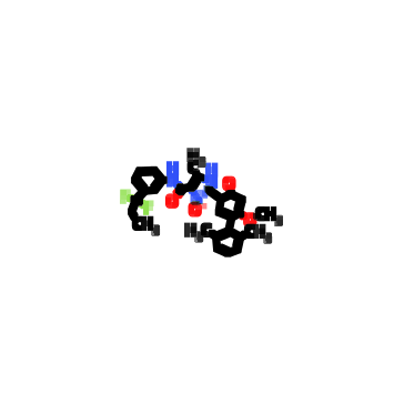 CCC(F)(F)c1cccc(NC(=O)c2c(C)[nH]c(C3C=C(c4c(C)cccc4C)C(OC)=CC3=O)[n+]2[O-])c1